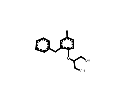 Cc1ccc(OC(CO)CO)c(Cc2ccccc2)c1